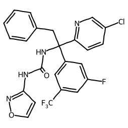 O=C(Nc1ccon1)NC(Cc1ccccc1)(c1cc(F)cc(C(F)(F)F)c1)c1ccc(Cl)cn1